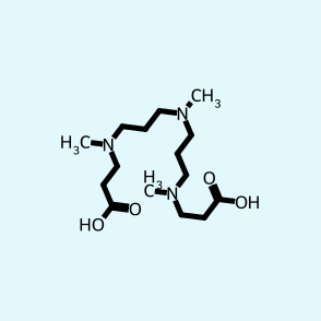 CN(CCCN(C)CCC(=O)O)CCCN(C)CCC(=O)O